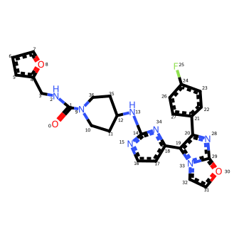 O=C(NCc1ccco1)N1CCC(Nc2nccc(-c3c(-c4ccc(F)cc4)nc4occn34)n2)CC1